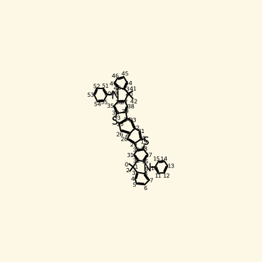 CC1(C)c2ccccc2N(c2ccccc2)c2cc3sc4cc5cc6c(cc5cc4c3cc21)sc1cc2c(cc16)C(C)(C)c1ccccc1N2c1ccccc1